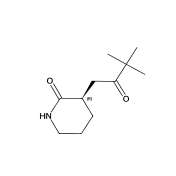 CC(C)(C)C(=O)C[C@H]1CCCNC1=O